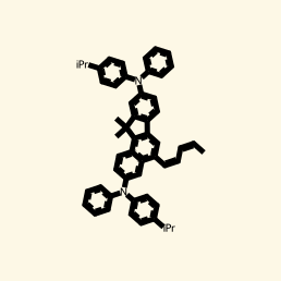 C/C=C\C=C/c1cc2c(c3ccc(N(c4ccccc4)c4ccc(C(C)C)cc4)cc13)C(C)(C)c1cc(N(c3ccccc3)c3ccc(C(C)C)cc3)ccc1-2